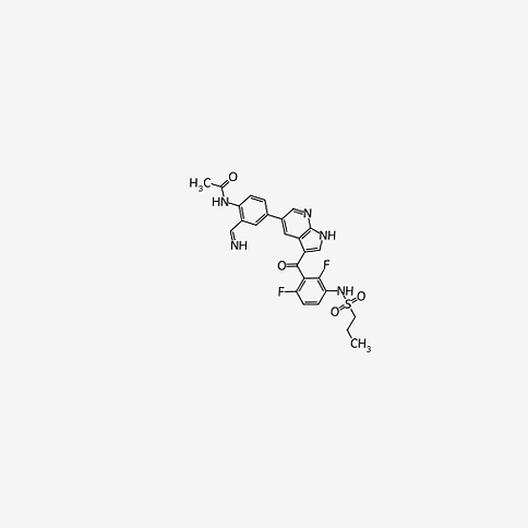 CCCS(=O)(=O)Nc1ccc(F)c(C(=O)c2c[nH]c3ncc(-c4ccc(NC(C)=O)c(C=N)c4)cc23)c1F